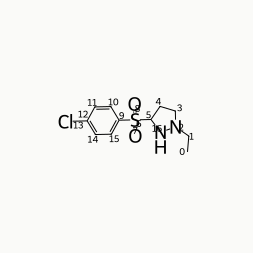 CCN1CCC(S(=O)(=O)c2ccc(Cl)cc2)N1